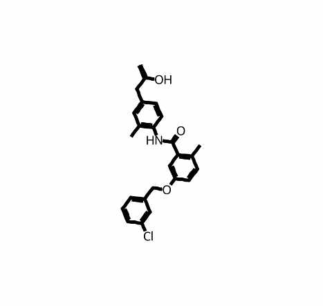 C=C(O)Cc1ccc(NC(=O)c2cc(OCc3cccc(Cl)c3)ccc2C)c(C)c1